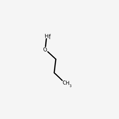 CCC[O][Hf]